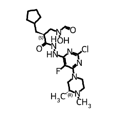 C[C@@H]1CN(c2nc(Cl)nc(NNC(=O)[C@@H](CC3CCCC3)CN(O)C=O)c2F)CCN1C